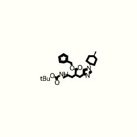 CC(C)(C)OC(=O)NCCCC(Cc1cn([C@H]2CC[C@H](C)CC2)cn1)C(=O)OCc1ccccc1